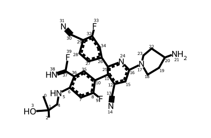 CC(C)(O)CNc1cc(F)c(-c2c(C#N)cc(N3CCC(N)CC3)nc2-c2ccc(C#N)c(F)c2)cc1C(=N)F